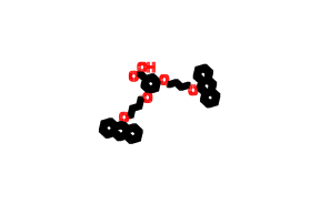 O=C(O)c1cc(OCCCCOc2c3ccccc3cc3ccccc23)cc(OCCCCOc2c3ccccc3cc3ccccc23)c1